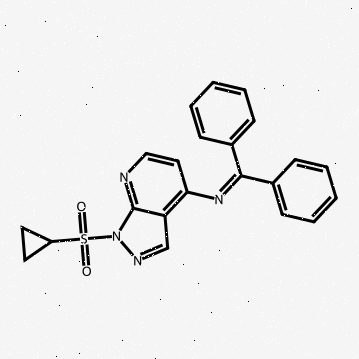 O=S(=O)(C1CC1)n1ncc2c(N=C(c3ccccc3)c3ccccc3)ccnc21